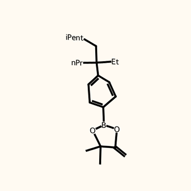 C=C1OB(c2ccc(C(CC)(CCC)CC(C)CCC)cc2)OC1(C)C